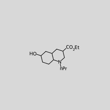 CCCN1CC(C(=O)OCC)CC2CC(O)CCC21